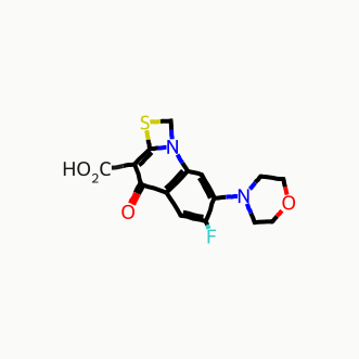 O=C(O)c1c2n(c3cc(N4CCOCC4)c(F)cc3c1=O)CS2